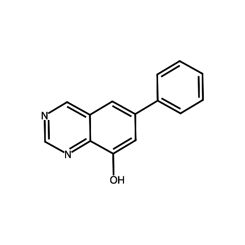 Oc1cc(-c2ccccc2)cc2cncnc12